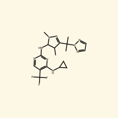 CC1C(C(C)(C)n2nccn2)=NN(C)C1Nc1ncc(C(F)(F)F)c(NC2CC2)n1